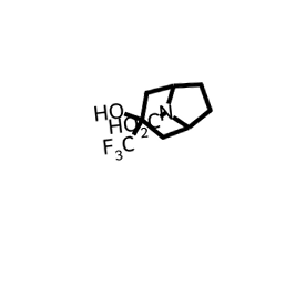 O=C(O)N1C2CCC1CC(O)(C(F)(F)F)C2